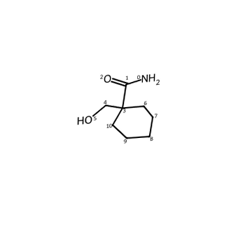 NC(=O)C1(CO)CCCCC1